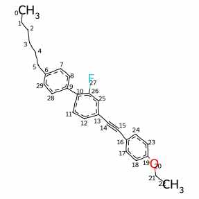 CCCCCCc1ccc(-c2ccc(C#Cc3ccc(OCC)cc3)cc2F)cc1